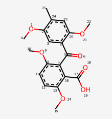 COc1cc(C(=O)c2c(OC)ccc(OC)c2C(=O)O)c(OC)cc1C